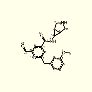 COc1cccc(Cc2cc(C(=O)NC3C4CNCC43)cc(C=O)n2)c1